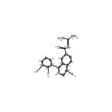 NC(N)=NC(=O)c1ccc2c(F)cnc(-c3cccc(F)c3F)c2c1